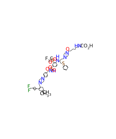 CC1(C)CCC(CN2CCN(c3ccc(C(=O)NS(=O)(=O)c4ccc(NC(CCN5CCN(C(=O)CCCCCNC(=O)O)CC5)CSc5ccccc5)c(S(=O)(=O)C(F)(F)F)c4)cc3)CC2)=C(C23CC(C(F)F)(C2)C3)C1